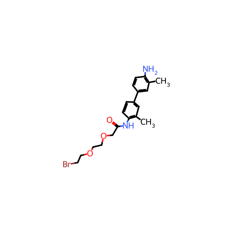 Cc1cc(-c2ccc(NC(=O)COCCOCCBr)c(C)c2)ccc1N